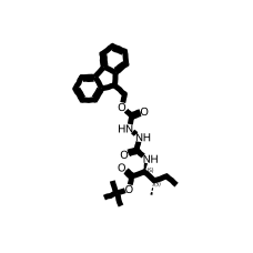 CC[C@H](C)[C@H](NC(=O)NNC(=O)OCC1c2ccccc2-c2ccccc21)C(=O)OC(C)(C)C